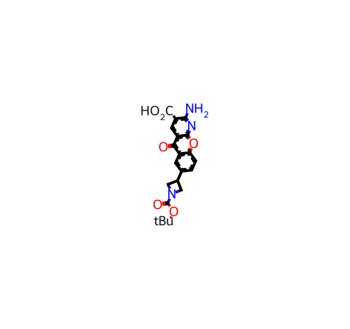 CC(C)(C)OC(=O)N1CC(c2ccc3oc4nc(N)c(C(=O)O)cc4c(=O)c3c2)C1